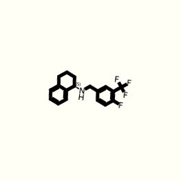 Fc1ccc(CN[C@H]2CCCc3ccccc32)cc1C(F)(F)F